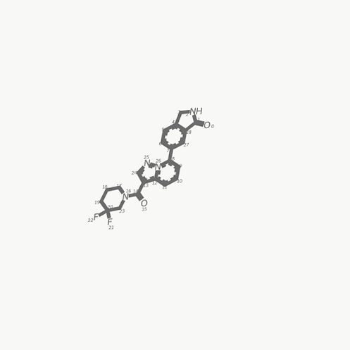 O=C1NCc2ccc(-c3cccc4c(C(=O)N5CCCC(F)(F)C5)cnn34)cc21